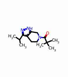 CC(C)c1n[nH]c2c1CCN(C(=O)C(C)(C)C)C2